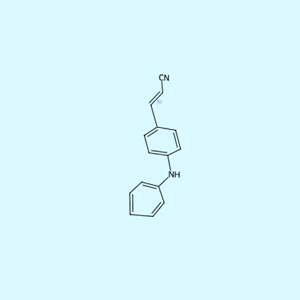 N#C/C=C/c1ccc(Nc2ccccc2)cc1